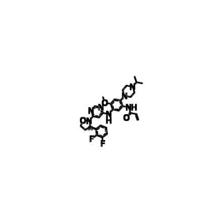 C=CC(=O)Nc1cc(Nc2cc(N3OCC[C@@H]3c3cccc(F)c3F)ncn2)c(OC)cc1N1CCN(C(C)C)CC1